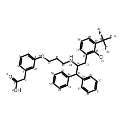 O=C(O)Cc1cccc(OCCCNC(Cc2cccc(C(F)(F)F)c2Cl)C(c2ccccc2)c2ccccc2)c1